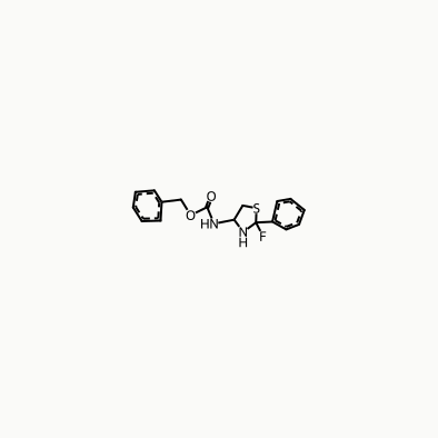 O=C(NC1CSC(F)(c2ccccc2)N1)OCc1ccccc1